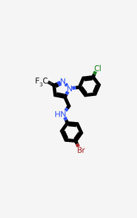 FC(F)(F)c1cc(CNc2ccc(Br)cc2)n(-c2cccc(Cl)c2)n1